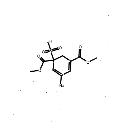 COC(=O)C1=C[C]([Na])=CC(C(=O)OC)(S(=O)(=O)O)C1